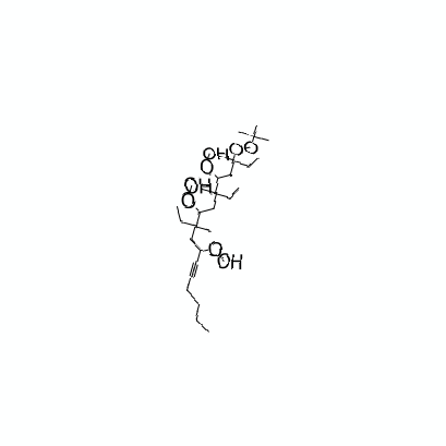 CCCCC#CC(CC(C)(CC)C(CC(C)(CC)C(CC(C)(CC)OOC(C)(C)C)OO)OO)OO